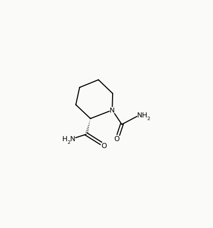 NC(=O)[C@@H]1CCCCN1C(N)=O